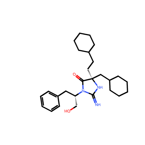 N=C1N[C@](CCC2CCCCC2)(CC2CCCCC2)C(=O)N1[C@H](CO)Cc1ccccc1